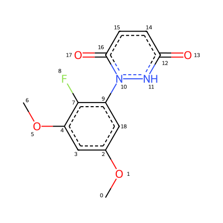 COc1cc(OC)c(F)c(-n2[nH]c(=O)ccc2=O)c1